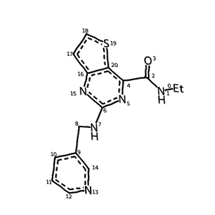 CCNC(=O)c1nc(NCc2cccnc2)nc2ccsc12